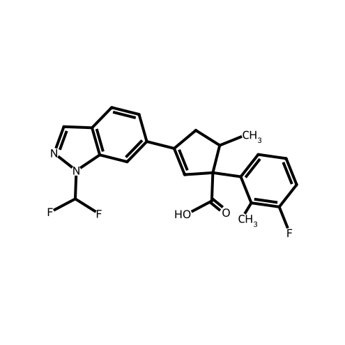 Cc1c(F)cccc1C1(C(=O)O)C=C(c2ccc3cnn(C(F)F)c3c2)CC1C